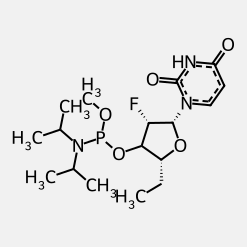 CC[C@H]1O[C@@H](n2ccc(=O)[nH]c2=O)[C@@H](F)C1OP(OC)N(C(C)C)C(C)C